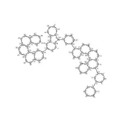 c1ccc(-c2cccc(-c3cc4ccc5ccc6c(-c7cccc(-n8c9ccccc9c9cc(-c%10ccc%11ccc%12ccc%13ccc%14ccccc%14c%13c%12c%11c%10)ccc98)c7)cccc6c5c4c4ccccc34)c2)cc1